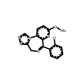 CCCCOc1ccc2c(n1)C(c1ccccc1Cl)=NCc1nncn1-2